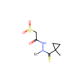 CCN(NC(=O)C[SH](=O)=O)C(=S)C1(C)CC1